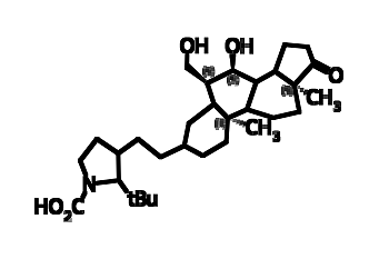 CC(C)(C)C1C(CCC2CC[C@]3(C)C4CC[C@]5(C)C(=O)CCC5C4[C@H](O)[C@H](CO)C3C2)CCN1C(=O)O